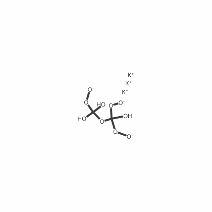 [K+].[K+].[K+].[O-]OC(O)(O)OC(O)(O[O-])O[O-]